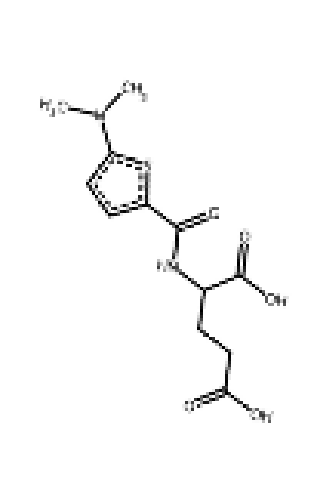 CN(C)c1ccc(C(=O)NC(CCC(=O)O)C(=O)O)s1